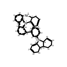 N#CC1CC=CC=C1n1c2ccccc2c2cccc(-c3cccc(N4C5=CC=CCC5C5CCC=CC54)c3)c21